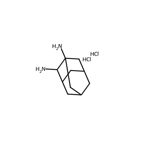 Cl.Cl.NC1C2CC3CC(C2)CC1(N)C3